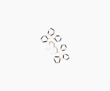 OC(CC(Cl)[PH](c1ccccc1)(c1ccccc1)c1ccccc1)CC(Cl)[PH](c1ccccc1)(c1ccccc1)c1ccccc1